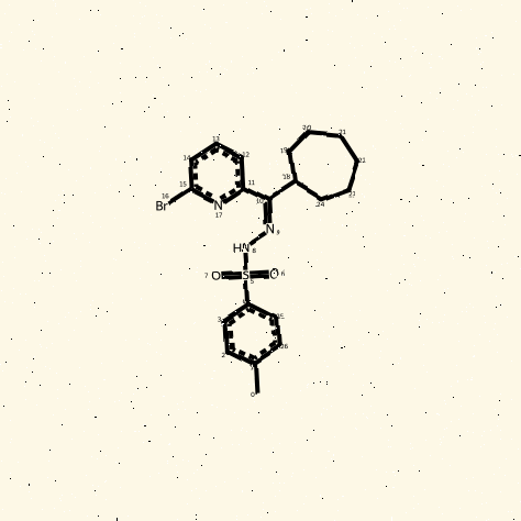 Cc1ccc(S(=O)(=O)NN=C(c2cccc(Br)n2)C2CCCCCC2)cc1